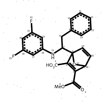 COC(=O)C1=C(C(=O)O)C2(C(Cc3ccccc3)Nc3cc(F)cc(F)c3)C=CC1O2